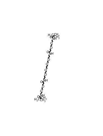 CC(C)(C)C(=O)NCCOCCOCCC(=O)NCCCOCCOCCCOCCOCCCNC(=O)CCOCCOCCNC(=O)C(C)(C)C